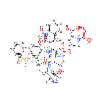 CC(C)(C)[Si](C)(C)OC1CN(C(=O)O[C@@H]2C[C@H](C(=O)O)N(C(=O)O)C2)C(C(=O)Nc2ccc(-c3ccccc3S(C)(=O)=O)cc2F)(c2ccc(-c3ccccc3S(C)(=O)=O)c(C(N)=O)c2F)C1N1CC(Cl)=CC=C1C(N)=O